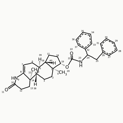 C[C@]12CC[C@H]3[C@@H](CC=C4NC(=O)CC[C@@]43C)[C@@H]1CC[C@@H]2OC(=O)NC(Cc1ccccc1)c1ccccc1